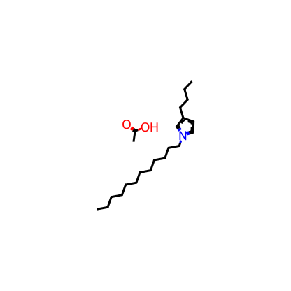 CC(=O)O.CCCCCCCCCCCCn1ccc(CCCC)c1